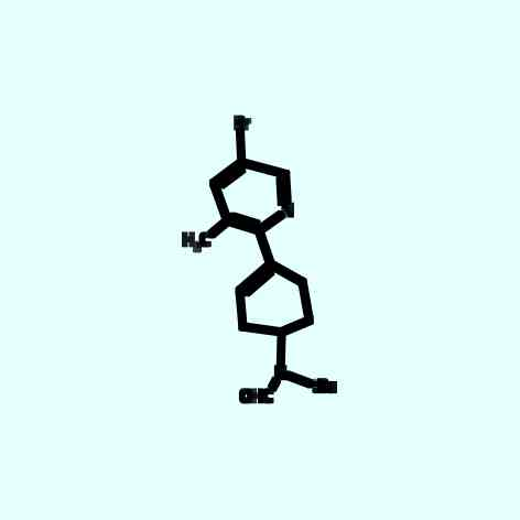 Cc1cc(Br)cnc1C1=CCC(N(C=O)C(C)(C)C)CC1